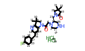 C[C@@H]1CN(CC(=O)N2CC(C)(C)c3ncc(Cc4ccc(F)cc4)cc32)[C@@H](CN2CC(C)(C)CC2=O)CN1.Cl.Cl